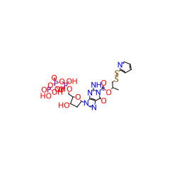 CC(CSSc1ccccn1)OC(=O)n1c(N)nc2c(ncn2C2CC(O)C(COP(=O)(O)OP(=O)(O)OP(=O)(O)O)O2)c1=O